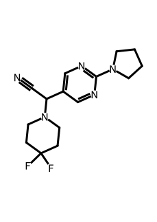 N#CC(c1cnc(N2CCCC2)nc1)N1CCC(F)(F)CC1